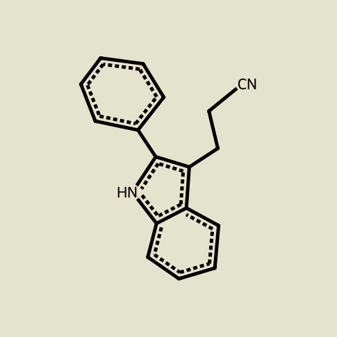 N#CCCc1c(-c2ccccc2)[nH]c2ccccc12